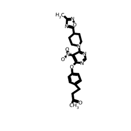 CC(=O)CCc1ccc(Oc2ncnc(N3CCC(c4nc(C)no4)CC3)c2[N+](=O)[O-])cc1